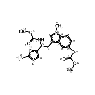 Cn1cc(C[C@H](NC(=O)OC(C)(C)C)c2csc(N)n2)c2cc(OC(=O)OC(C)(C)C)ccc21